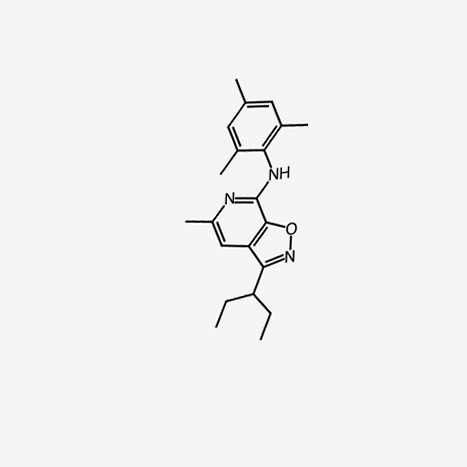 CCC(CC)c1noc2c(Nc3c(C)cc(C)cc3C)nc(C)cc12